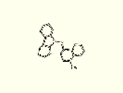 CCCn1ccc(=Nn2c3ccccc3c3ccccc32)c2ccccc21